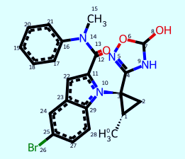 C[C@H]1C[C@]1(C1=NOC(O)N1)n1c(C(=O)N(C)c2ccccc2)cc2cc(Br)ccc21